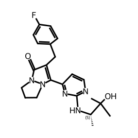 C[C@H](Nc1nccc(-c2c(Cc3ccc(F)cc3)c(=O)n3n2CCC3)n1)C(C)(C)O